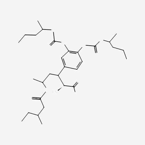 CCCC(C)OC(=O)Oc1ccc(C(CC(C)OC(=O)CC(C)CC)[C@H](N)C(=O)O)cc1OC(=O)OC(C)CCC